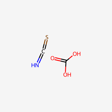 N=C=S.O=C(O)O